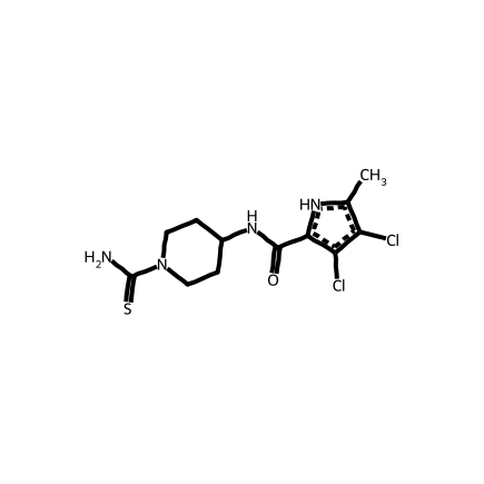 Cc1[nH]c(C(=O)NC2CCN(C(N)=S)CC2)c(Cl)c1Cl